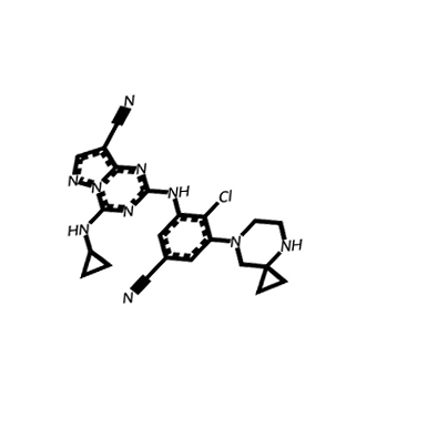 N#Cc1cc(Nc2nc(NC3CC3)n3ncc(C#N)c3n2)c(Cl)c(N2CCNC3(CC3)C2)c1